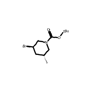 C[C@@H]1CC(Br)CN(C(=O)OC(C)(C)C)C1